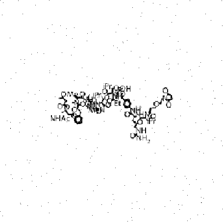 C=C(C(=O)N[C@@H](C)C(=O)N(C)[C@@H](C)C(=O)N[C@H](C(=O)NC)[C@H](OC(=O)[C@@H](NC(=O)CC)[C@H](OP(=O)(O)OCc1ccc(NC(=O)[C@H](CCCNC(N)=O)NC(=O)[C@@H](NC(=O)CCOCCN2C(=O)C=CC2=O)C(C)C)cc1)C(C)C)C(C)C)N(C)C(=O)[C@@H](Cc1ccccc1)OC(=O)[C@@H](NC(C)=O)[C@@H](C)OC(=O)C[C@@H](C)OC